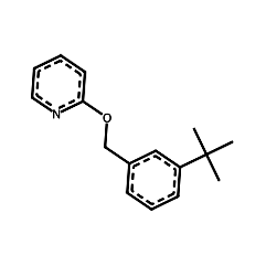 CC(C)(C)c1cccc(COc2ccccn2)c1